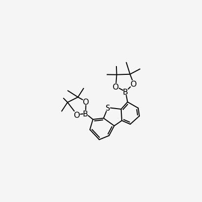 CC1(C)OB(c2cccc3c2sc2c(B4OC(C)(C)C(C)(C)O4)cccc23)OC1(C)C